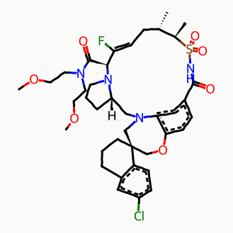 COCCN(CCOC)C(=O)[C@H]1/C(F)=C/C[C@H](C)[C@@H](C)S(=O)(=O)NC(=O)c2ccc3c(c2)N(C[C@@H]2CCCN21)C[C@@]1(CCCc2cc(Cl)ccc21)CO3